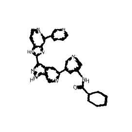 O=C(Nc1cncc(-c2cc3c(-c4nc5c(-c6cccnc6)nccc5[nH]4)n[nH]c3cn2)c1)C1CCCCC1